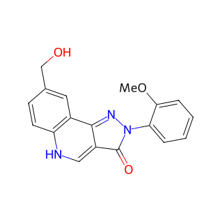 COc1ccccc1-n1nc2c3cc(CO)ccc3[nH]cc-2c1=O